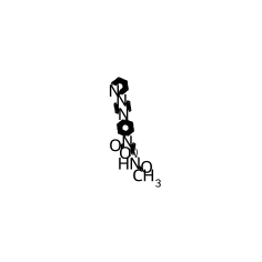 CC(=O)NC[C@H]1CN(c2ccc(N3CCN(c4ccccn4)CC3)cc2)C(=O)O1